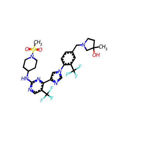 CC1(O)CCN(Cc2ccc(-n3cnc(-c4nc(NC5CCN(S(C)(=O)=O)CC5)ncc4C(F)(F)F)c3)c(C(F)(F)F)c2)C1